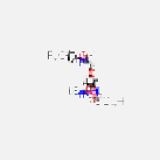 Cc1oc(-c2ccc(C(F)(F)F)cc2)nc1CCOc1cccc(CN(CC(=O)O)S(=O)(=O)NC(C)(C)C)c1